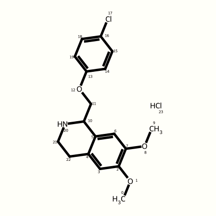 COc1cc2c(cc1OC)C(COc1ccc(Cl)cc1)NCC2.Cl